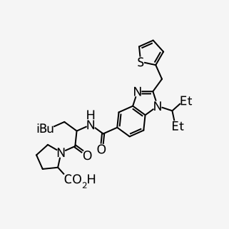 CCC(C)CC(NC(=O)c1ccc2c(c1)nc(Cc1cccs1)n2C(CC)CC)C(=O)N1CCCC1C(=O)O